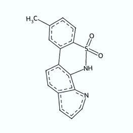 Cc1ccc2c(c1)-c1ccc3cccnc3c1NS2(=O)=O